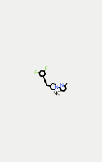 Cc1ccc(C#N)c(N2CCC(=CC#Cc3cc(F)cc(F)c3)CC2)n1